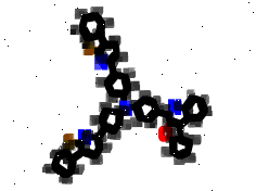 c1ccc2c(c1)nc(-c1ccc(N(c3ccc(-c4ccc5c(n4)sc4ccccc45)cc3)c3ccc(-c4ccc5c(n4)sc4ccccc45)cc3)cc1)c1oc3ccccc3c12